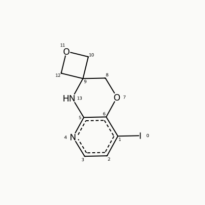 Ic1ccnc2c1OCC1(COC1)N2